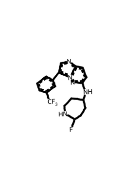 FC1CCC(Nc2ccc3ncc(-c4cccc(C(F)(F)F)c4)n3n2)CCN1